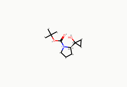 CC(C)(C)OC(=O)N1CCC[C@@H]1C1(O)CC1